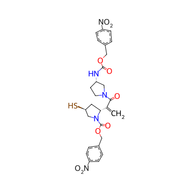 C=C(C(=O)N1CC[C@H](NC(=O)OCc2ccc([N+](=O)[O-])cc2)C1)[C@H]1C[C@H](S)CN1C(=O)OCc1ccc([N+](=O)[O-])cc1